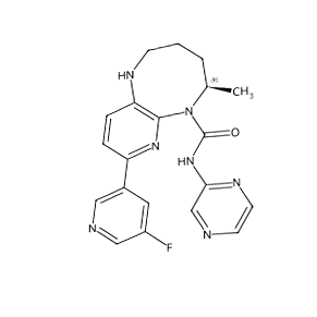 C[C@@H]1CCCNc2ccc(-c3cncc(F)c3)nc2N1C(=O)Nc1cnccn1